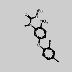 Cc1ccc(Oc2ccc([N+](=O)[O-])c(N(C)C(=O)OC(C)(C)C)c2)c(F)c1